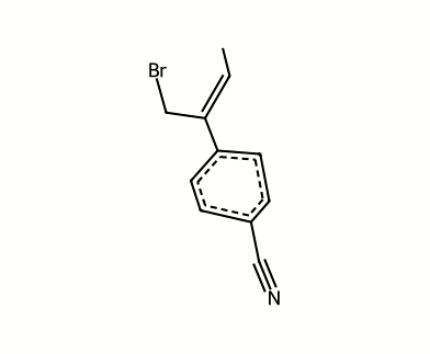 CC=C(CBr)c1ccc(C#N)cc1